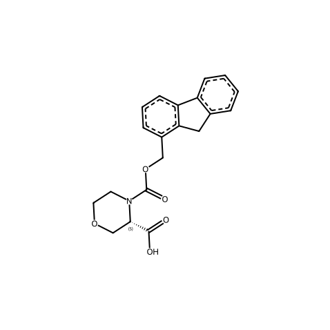 O=C(O)[C@@H]1COCCN1C(=O)OCc1cccc2c1Cc1ccccc1-2